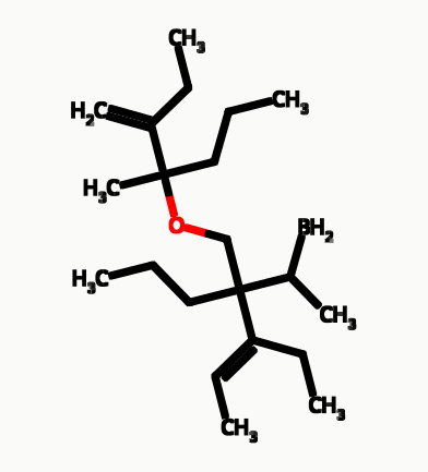 BC(C)C(CCC)(COC(C)(CCC)C(=C)CC)/C(=C/C)CC